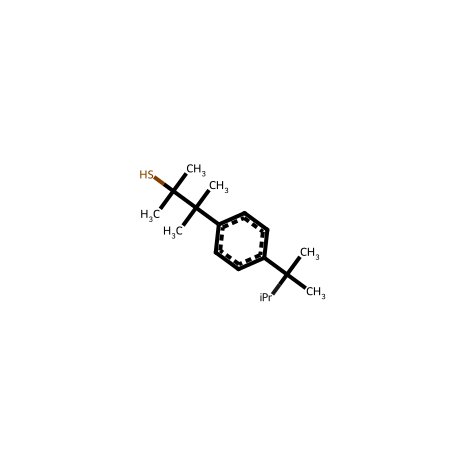 CC(C)C(C)(C)c1ccc(C(C)(C)C(C)(C)S)cc1